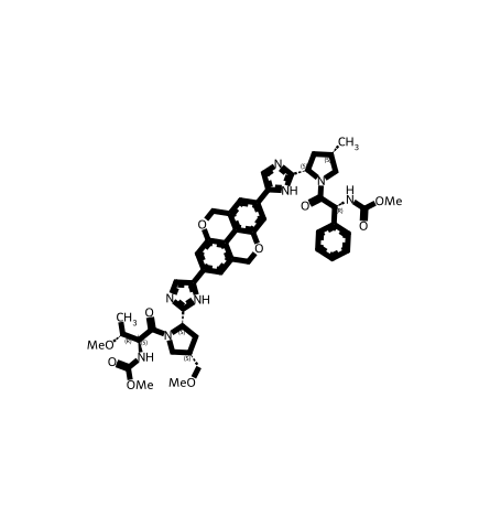 COC[C@H]1C[C@@H](c2ncc(-c3cc4c5c(c3)OCc3cc(-c6cnc([C@@H]7C[C@H](C)CN7C(=O)[C@H](NC(=O)OC)c7ccccc7)[nH]6)cc(c3-5)OC4)[nH]2)N(C(=O)[C@@H](NC(=O)OC)[C@@H](C)OC)C1